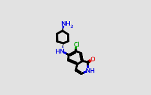 N[C@H]1CC[C@H](Nc2cc3cc[nH]c(=O)c3cc2Cl)CC1